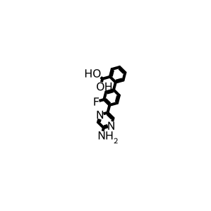 Nc1cnc(-c2ccc(-c3ccccc3C(O)O)cc2F)cn1